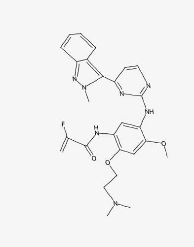 C=C(F)C(=O)Nc1cc(Nc2nccc(-c3c4ccccc4nn3C)n2)c(OC)cc1OCCN(C)C